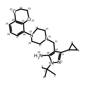 CC(C)(C)n1nc(C2CC2)c(CN2CCN(c3cccc4c3OCCO4)CC2)c1N